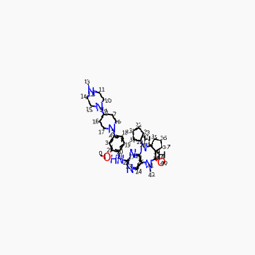 COc1cc(N2CCC(N3CCN(C)CC3)CC2)ccc1Nc1ncc2c(n1)N(C1CCCC1)[C@@H]1CCC[C@@H]1C(=O)N2C